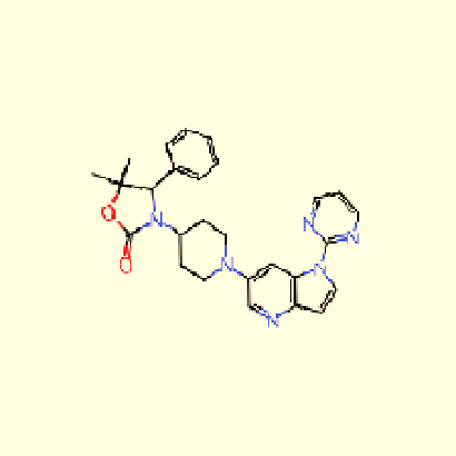 CC1(C)OC(=O)N(C2CCN(c3cnc4ccn(-c5ncccn5)c4c3)CC2)C1c1ccccc1